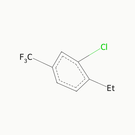 [CH2]Cc1ccc(C(F)(F)F)cc1Cl